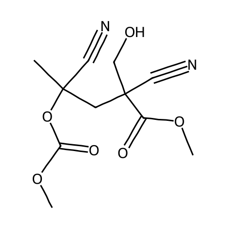 COC(=O)OC(C)(C#N)CC(C#N)(CO)C(=O)OC